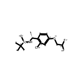 C[C@@H](N[S+]([O-])C(C)(C)C)c1ccc(OCC(F)F)cc1Cl